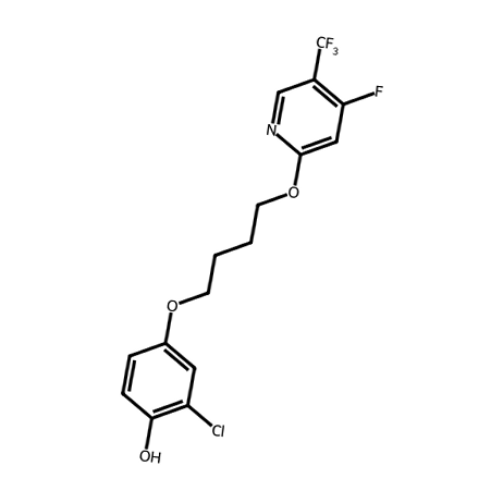 Oc1ccc(OCCCCOc2cc(F)c(C(F)(F)F)cn2)cc1Cl